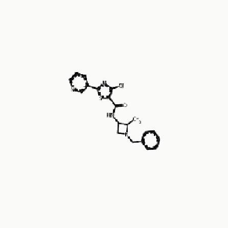 O=C(NC1CN(Cc2ccccc2)C1C(F)(F)F)c1sc(-c2cccnc2)nc1Cl